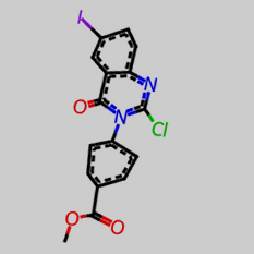 COC(=O)c1ccc(-n2c(Cl)nc3ccc(I)cc3c2=O)cc1